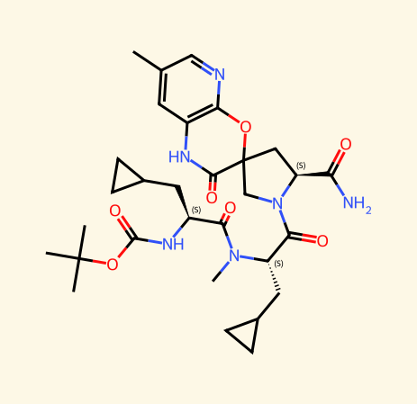 Cc1cnc2c(c1)NC(=O)C1(C[C@@H](C(N)=O)N(C(=O)[C@H](CC3CC3)N(C)C(=O)[C@H](CC3CC3)NC(=O)OC(C)(C)C)C1)O2